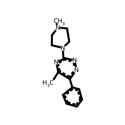 Cc1nc(N2CCN(C)CC2)nnc1-c1ccccc1